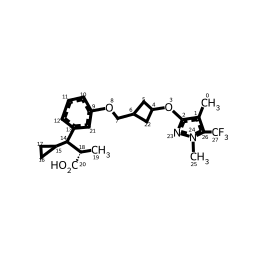 Cc1c(OC2CC(COc3cccc(C(C4CC4)[C@H](C)C(=O)O)c3)C2)nn(C)c1C(F)(F)F